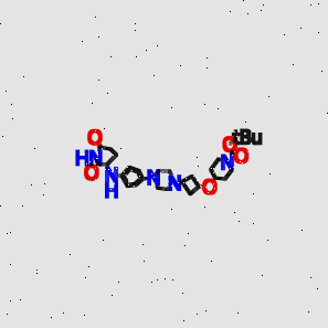 CC(C)(C)OC(=O)N1CCC(OC2CC(N3CCN(c4ccc(NC5CCC(=O)NC5=O)cc4)CC3)C2)CC1